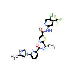 Cc1cn(-c2cccc(C(=O)N[C@H](C)c3ncc(C(=O)Nc4cc(C(F)(F)F)c(Cl)cn4)s3)n2)cn1